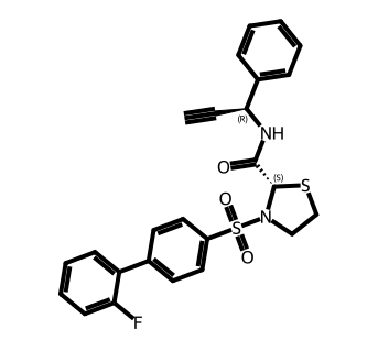 C#C[C@H](NC(=O)[C@@H]1SCCN1S(=O)(=O)c1ccc(-c2ccccc2F)cc1)c1ccccc1